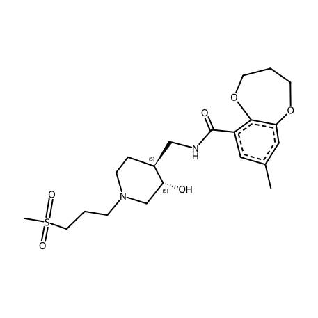 Cc1cc2c(c(C(=O)NC[C@@H]3CCN(CCCS(C)(=O)=O)C[C@H]3O)c1)OCCCO2